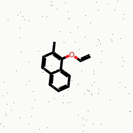 C=COc1c(C)ccc2ccccc12